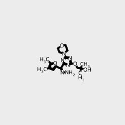 Cc1cc(/C(=N/N)c2nc(OCC(C)(C)O)nc(N3CCOCC3)n2)oc1C